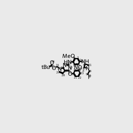 COc1cc(NC2CN(CCF)C2)ccc1Nc1nc(Oc2cccc([N+](=O)[O-])c2)c2ccn(COC(=O)C(C)(C)C)c2n1